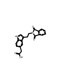 O=C(O)Cc1ccc2[nH]cc(CCN3C(=O)c4ccccc4C3=O)c2c1